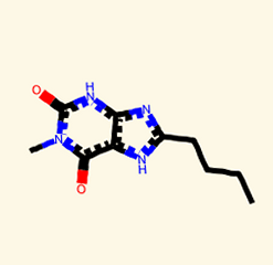 CCCCc1nc2[nH]c(=O)n(C)c(=O)c2[nH]1